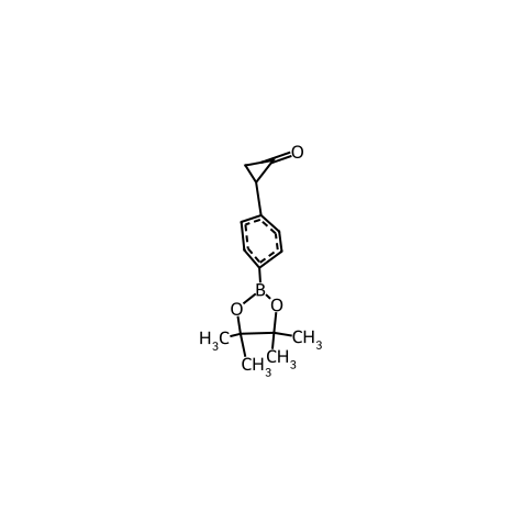 CC1(C)OB(c2ccc(C3CC3=O)cc2)OC1(C)C